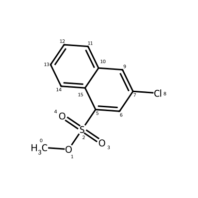 COS(=O)(=O)c1cc(Cl)cc2ccccc12